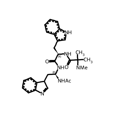 CNC(C)(C)C(=O)N[C@H](Cc1c[nH]c2ccccc12)C(=O)N[C@H](CC1C=Nc2ccccc21)NC(C)=O